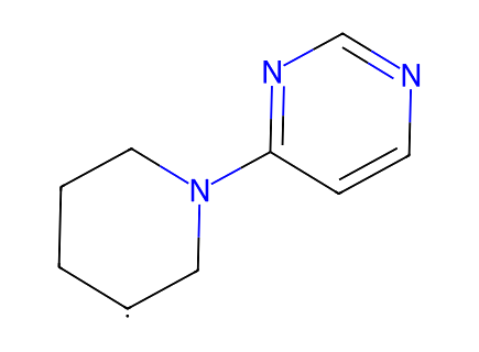 [CH]1CCCN(c2ccncn2)C1